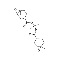 CC(C)(OC(=O)C1CCC2(C)OC2C1)OC(=O)C1CCC2(C)OC2C1